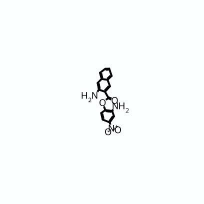 Nc1cc([N+](=O)[O-])ccc1OC(=O)c1cc2ccccc2cc1N